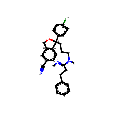 CN=C(CCc1ccccc1)N(C)CCCC1(c2ccc(F)cc2)OCc2cc(C#N)ccc21